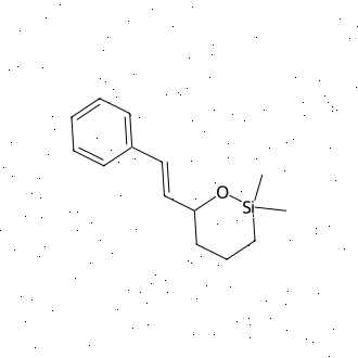 C[Si]1(C)CCCC(C=Cc2ccccc2)O1